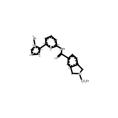 CCOC(=O)N1Cc2ccc(C(=O)Nc3cccc(-c4nncn4C(C)C)n3)cc2C1